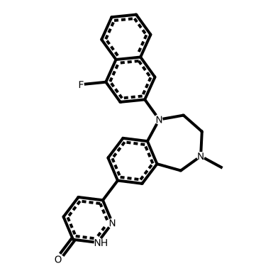 CN1CCN(c2cc(F)c3ccccc3c2)c2ccc(-c3ccc(=O)[nH]n3)cc2C1